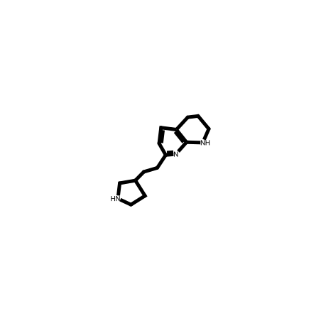 c1cc2c(nc1CCC1CCNC1)NCCC2